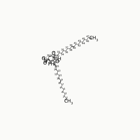 CCCCCCCCC=CCCCCCCCC(=O)C1C(P)=C([N+](=O)[O-])C=CC1(O)C(=O)CCCCCCCC=CCCCCCCCC